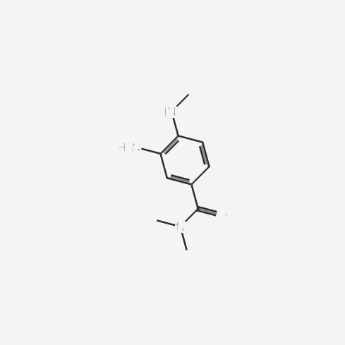 CNc1ccc(C(=O)N(C)C)cc1N